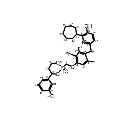 Cc1cc(OCP2(=O)OCCC(c3cccc(Cl)c3)O2)c(F)c(C)c1Cc1ccc(O)c(C2CCCCCC2)n1